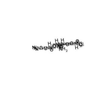 [N-]=[N+]=NCCOCCOCCNC(=O)c1ccc(Nc2nc(N)nc(NCCOCCOCCNC(=O)c3ccccc3)n2)cc1